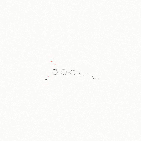 C=C(CO)C(=O)Oc1cc(OC(=O)C(=O)CO)cc(-c2ccc(-c3ccc(C4=CCC(CC/C=C/C)CC4)cc3)cc2)c1